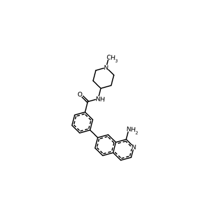 CN1CCC(NC(=O)c2cccc(-c3ccc4ccnc(N)c4c3)c2)CC1